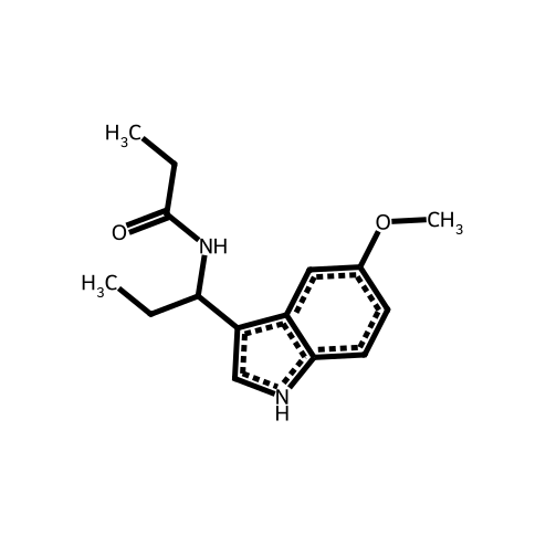 CCC(=O)NC(CC)c1c[nH]c2ccc(OC)cc12